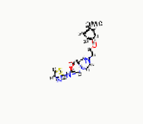 COc1ccc(OCCN2CCN(CC(=O)Nc3nccs3)CC2)cc1